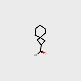 CC(C)C(=O)C1CC2(CCCCC2)C1